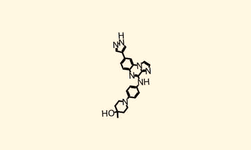 CC1(O)CCN(c2ccc(Nc3nc4ccc(-c5cn[nH]c5)cc4n4ccnc34)cc2)CC1